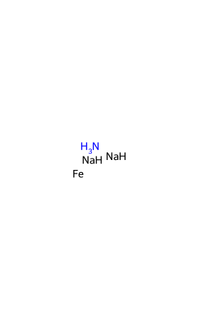 N.[Fe].[NaH].[NaH]